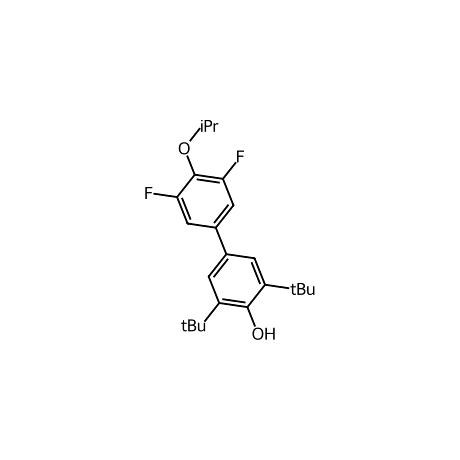 CC(C)Oc1c(F)cc(-c2cc(C(C)(C)C)c(O)c(C(C)(C)C)c2)cc1F